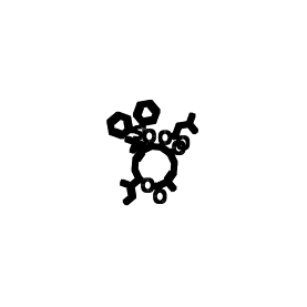 CC=C(C)C1CC=C(C)C(O[Si](c2ccccc2)(c2ccccc2)C(C)(C)C)C(OC(=O)CC(C)C)C(=O)CC=C(C)C(=O)O1